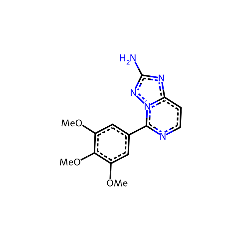 COc1cc(-c2nccc3nc(N)nn23)cc(OC)c1OC